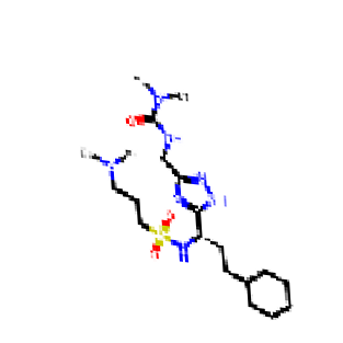 CCN(CC)CCCS(=O)(=O)N[C@H](CCC1CCCCC1)c1nc(CNC(=O)N(CC)CC)n[nH]1